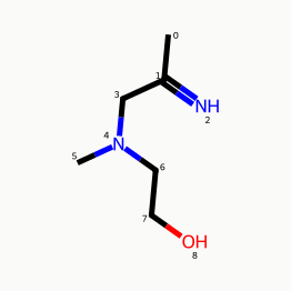 CC(=N)CN(C)CCO